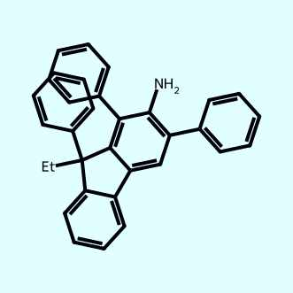 CCC1(c2ccccc2)c2ccccc2-c2cc(-c3ccccc3)c(N)c(-c3ccccc3)c21